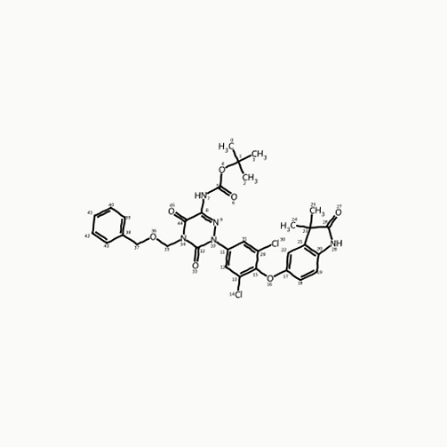 CC(C)(C)OC(=O)Nc1nn(-c2cc(Cl)c(Oc3ccc4c(c3)C(C)(C)C(=O)N4)c(Cl)c2)c(=O)n(COCc2ccccc2)c1=O